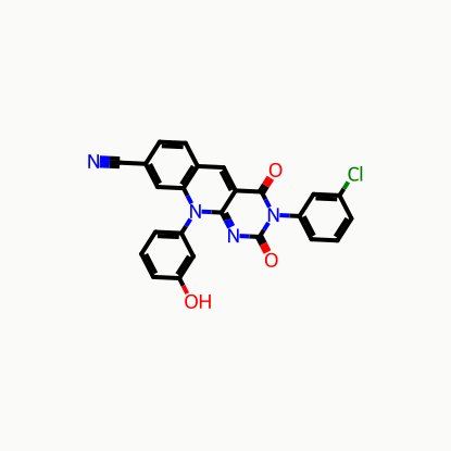 N#Cc1ccc2cc3c(=O)n(-c4cccc(Cl)c4)c(=O)nc-3n(-c3cccc(O)c3)c2c1